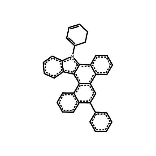 C1=CCCC(n2c3ccccc3c3c4c5ccccc5c(-c5ccccc5)cc4c4ccccc4c32)=C1